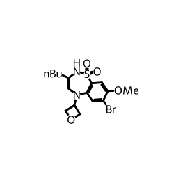 CCCCC1CN(C2COC2)c2cc(Br)c(OC)cc2S(=O)(=O)N1